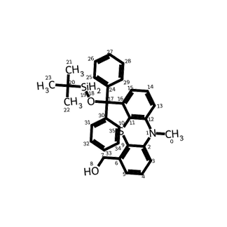 CN1c2cccc(CO)c2Sc2c1cccc2C(O[SiH2]C(C)(C)C)(c1ccccc1)c1ccccc1